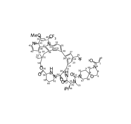 C=CC(=O)N1CCOC2(CCN(C(=O)N(C)[C@H](C(=O)N[C@H]3Cc4cc(CF)cc(c4)-c4ccc5c(c4)c(c(-c4cccnc4[C@H](C)OC)n5CC(F)(F)F)CC(C)(C)COC(=O)C4CCCN(N4)C3=O)C(C)C)CC2)C1